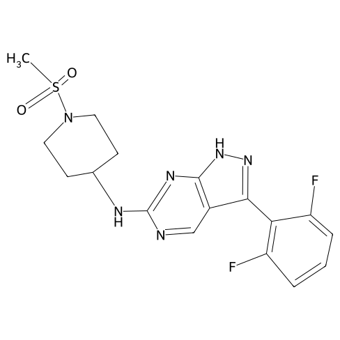 CS(=O)(=O)N1CCC(Nc2ncc3c(-c4c(F)cccc4F)n[nH]c3n2)CC1